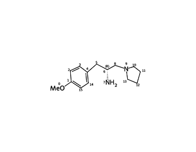 COc1ccc(C[C@@H](N)CN2CCCC2)cc1